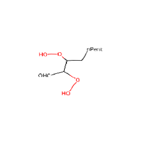 CCCCCCC(OO)C(C=O)OO